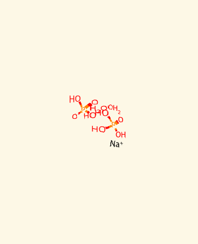 O.O.O=P(O)(O)O.O=P([O-])(O)O.[Na+]